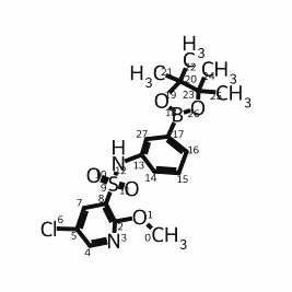 COc1ncc(Cl)cc1S(=O)(=O)Nc1cccc(B2OC(C)(C)C(C)(C)O2)c1